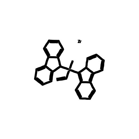 C=C[Si](C)(C1=c2ccccc2=C2C=CC=CC21)C1c2ccccc2-c2ccccc21.[Zr]